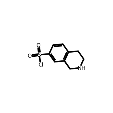 O=S(=O)(Cl)c1ccc2c(c1)CNCC2